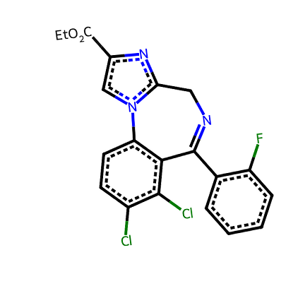 CCOC(=O)c1cn2c(n1)CN=C(c1ccccc1F)c1c-2ccc(Cl)c1Cl